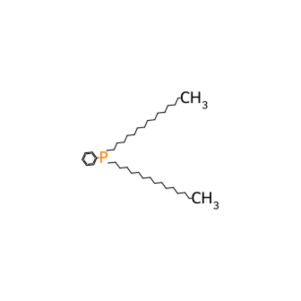 CCCCCCCCCCCCCCCCP(CCCCCCCCCCCCCCCC)c1ccccc1